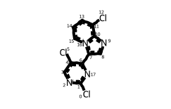 Clc1ncc(Cl)c(-c2cnc3c(Cl)cccn23)n1